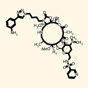 CC[C@H]1OC(=O)[C@H](C)C(=O)[C@H](C)[C@@H](O[C@@H]2OC(CNS(=O)(=O)c3cccnc3)CC(N(C)C)C2O)[C@](C)(OC)C[C@@H](C)CN[C@H](C)[C@H]2N(CCCCn3cc(-c4cccc(N)c4)nn3)C(=O)O[C@]12C